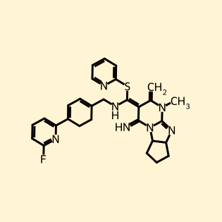 C=C1/C(=C(/NCC2=CC=C(c3cccc(F)n3)CC2)Sc2ccccn2)C(=N)N2C(=NC3CCCC32)N1C